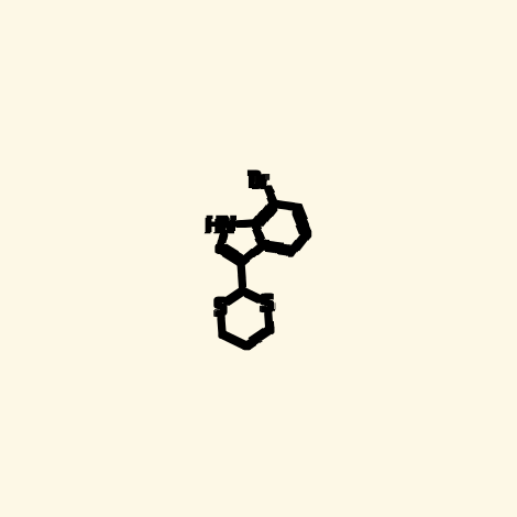 Brc1cccc2c(C3SCCCS3)c[nH]c12